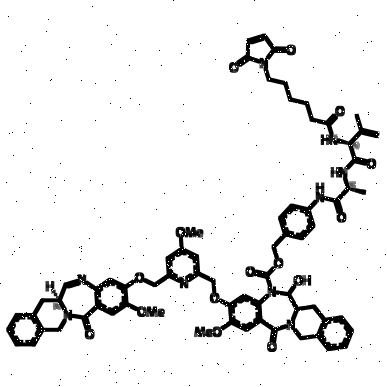 C=C(C)[C@H](NC(=O)CCCCCN1C(=O)C=CC1=O)C(=O)N[C@@H](C)C(=O)Nc1ccc(COC(=O)N2c3cc(OCc4cc(OC)cc(COc5cc6c(cc5OC)C(=O)N5Cc7ccccc7C[C@H]5C=N6)n4)c(OC)cc3C(=O)N3Cc4ccccc4CC3C2O)cc1